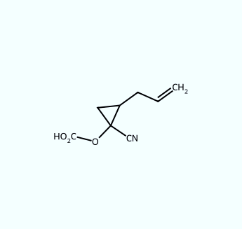 C=CCC1CC1(C#N)OC(=O)O